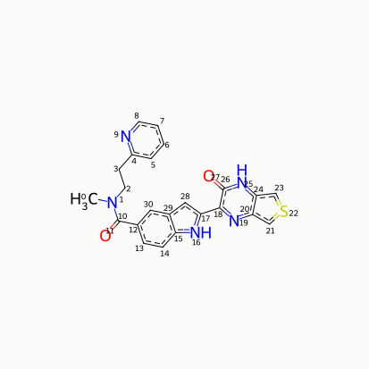 CN(CCc1ccccn1)C(=O)c1ccc2[nH]c(-c3nc4cscc4[nH]c3=O)cc2c1